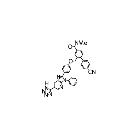 CNC(=O)c1ccc(-c2ccc(C#N)cc2)c(COc2ccc(-c3nc4cc(-c5nnn[nH]5)cnc4n3-c3ccccc3)cc2)c1